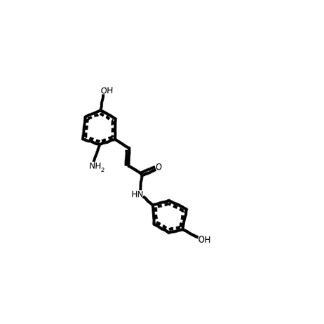 Nc1ccc(O)cc1/C=C/C(=O)Nc1ccc(O)cc1